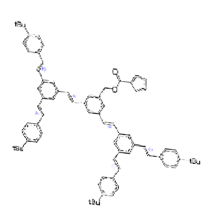 CC(C)(C)c1ccc(/C=C/c2cc(/C=C/c3ccc(C(C)(C)C)cc3)cc(/C=C/c3cc(/C=C/c4cc(/C=C/c5ccc(C(C)(C)C)cc5)cc(/C=C/c5ccc(C(C)(C)C)cc5)c4)cc(COC(=O)C4=C=C=C=C4)c3)c2)cc1